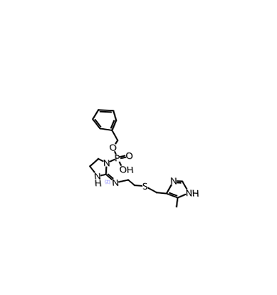 Cc1[nH]cnc1CSCC/N=C1/NCCN1P(=O)(O)OCc1ccccc1